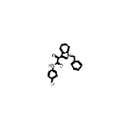 O=C(Nc1ccc(Br)cc1)C(=O)c1cn(Cc2ccccc2)c2ccccc12